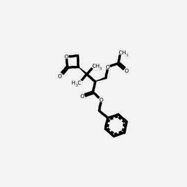 CC(=O)OC[C@@H](C(=O)OCc1ccccc1)C(C)(C)[C@@H]1COC1=O